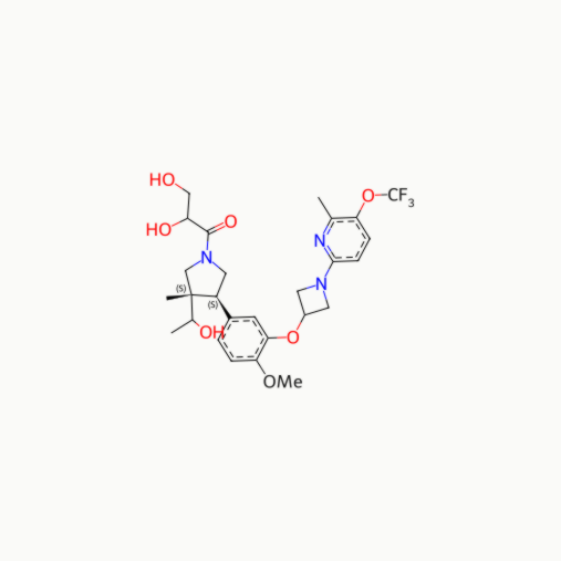 COc1ccc([C@@H]2CN(C(=O)C(O)CO)C[C@@]2(C)C(C)O)cc1OC1CN(c2ccc(OC(F)(F)F)c(C)n2)C1